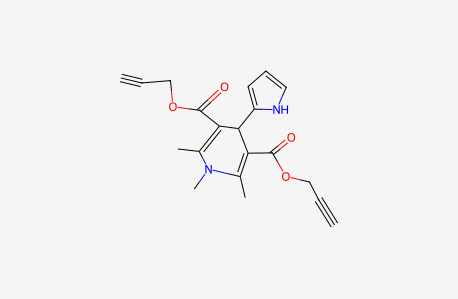 C#CCOC(=O)C1=C(C)N(C)C(C)=C(C(=O)OCC#C)C1c1ccc[nH]1